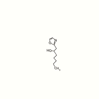 CCCCCC(O)Cc1ncco1